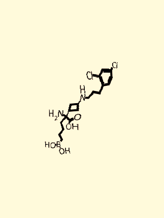 NC(CCCCB(O)O)(C(=O)O)[C@H]1C[C@@H](NCCCc2ccc(Cl)cc2Cl)C1